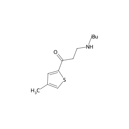 CCC(C)NCCC(=O)c1cc(C)cs1